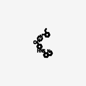 CCc1ccccc1CN1CCN(C(=O)c2ccc(NSc3cccc4cccnc34)cc2)CC1